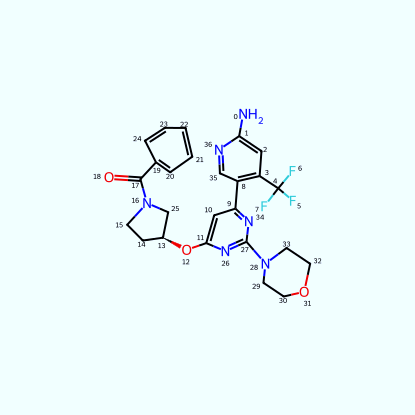 Nc1cc(C(F)(F)F)c(-c2cc(O[C@H]3CCN(C(=O)c4ccccc4)C3)nc(N3CCOCC3)n2)cn1